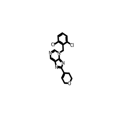 Clc1cccc(Cl)c1Cn1cncc2nc(C3=CCOCC3)nc1-2